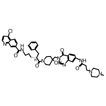 CN1CCN(CCC(=O)Nc2ccc3c(=O)n(CC4(O)CCN(C(=O)[C@H](CCCNC(=O)c5ccc6c(Cl)ccnc6c5)Cc5ccccc5)CC4)cnc3c2)CC1